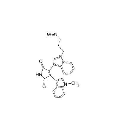 CNCCCn1cc(C2=C(c3cn(C)c4ccccc34)C(=O)NC2=O)c2ccccc21